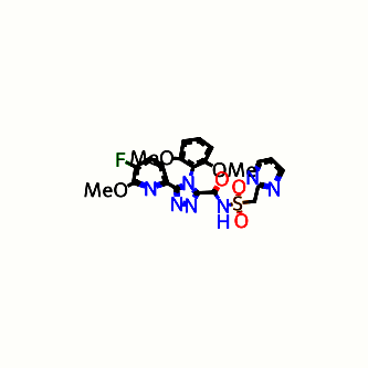 COc1cccc(OC)c1-n1c(C(=O)NS(=O)(=O)Cc2ncccn2)nnc1-c1ccc(F)c(OC)n1